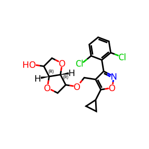 OC1CO[C@@H]2C(OCc3c(-c4c(Cl)cccc4Cl)noc3C3CC3)CO[C@H]12